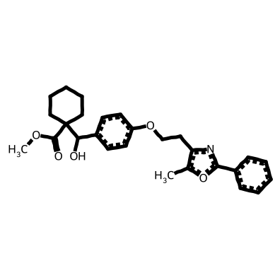 COC(=O)C1(C(O)c2ccc(OCCc3nc(-c4ccccc4)oc3C)cc2)CCCCC1